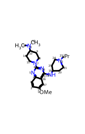 COc1ccc2nc(N3CCC(N(C)C)CC3)nc(NC3CCN(C(C)C)CC3)c2c1